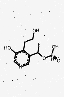 O=[PH](O)OC(F)c1cncc(O)c1CCO